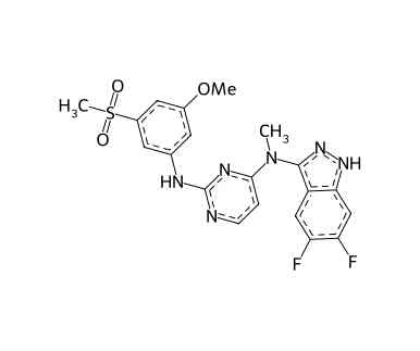 COc1cc(Nc2nccc(N(C)c3n[nH]c4cc(F)c(F)cc34)n2)cc(S(C)(=O)=O)c1